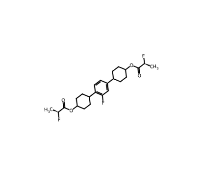 C[C@H](F)C(=O)OC1CCC(c2ccc(C3CCC(OC(=O)[C@H](C)F)CC3)c(F)c2)CC1